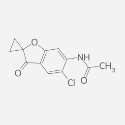 CC(=O)Nc1cc2c(cc1Cl)C(=O)C1(CC1)O2